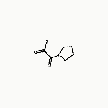 O=C(Cl)C(=O)N1CCCC1